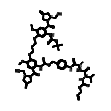 C=CCOC(=O)N[C@H](C(=O)N[C@@H](C)C(=O)Nc1ccc(COC(=O)Nc2cc(OCCCOc3cc(NC(=O)OC(C)(C)C)c(C(=O)N4CC(=C)C[C@H]4CO)cc3OC)c(OC)cc2C(=O)N2CC(=C)C[C@H]2CO)cc1)C(C)C